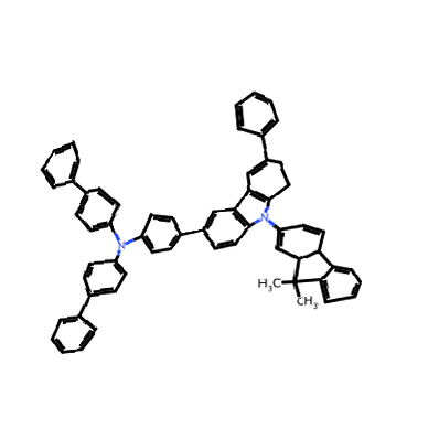 CC1(C)c2ccccc2C2C=CC(n3c4c(c5cc(-c6ccc(N(c7ccc(-c8ccccc8)cc7)c7ccc(-c8ccccc8)cc7)cc6)ccc53)C=C(c3ccccc3)CC4)=CC21